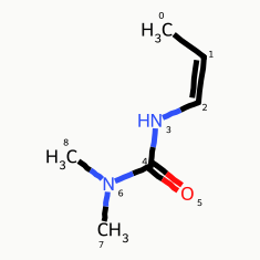 C/C=C\NC(=O)N(C)C